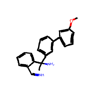 COc1cccc(-c2cccc(C(C)(N)c3ccccc3C=N)c2)c1